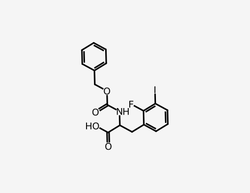 O=C(NC(Cc1cccc(I)c1F)C(=O)O)OCc1ccccc1